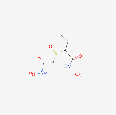 CCC(C(=O)NO)[S+]([O-])CC(=O)NO